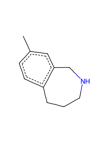 Cc1ccc2c(c1)CNCCC2